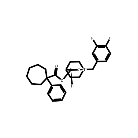 O=C(O[C@H]1C[N+]2(Cc3ccc(F)c(F)c3)CCC1CC2)C1(c2ccccc2)CCCCCC1